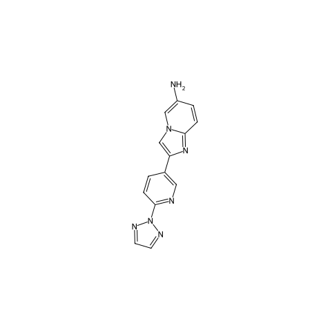 Nc1ccc2nc(-c3ccc(-n4nccn4)nc3)cn2c1